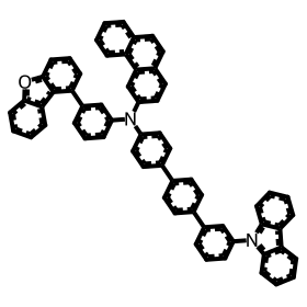 c1cc(-c2cccc3oc4ccccc4c23)cc(N(c2ccc(-c3ccc(-c4cccc(-n5c6ccccc6c6ccccc65)c4)cc3)cc2)c2ccc3ccc4ccccc4c3c2)c1